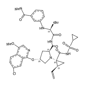 C=C[C@@H]1C[C@@]1(C(=O)NS(=O)(=O)C1CC1)N1C[C@H](Oc2ncc(OC)c3ccc(Cl)cc23)C[C@H]1C(=O)NC(=O)[C@@H](Nc1cccc(C(=O)NC)c1)C(C)(C)C